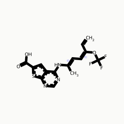 C=C/C(=C\C=C(/C)Nc1ncnc2sc(C(=O)O)cc12)OC(F)(F)F